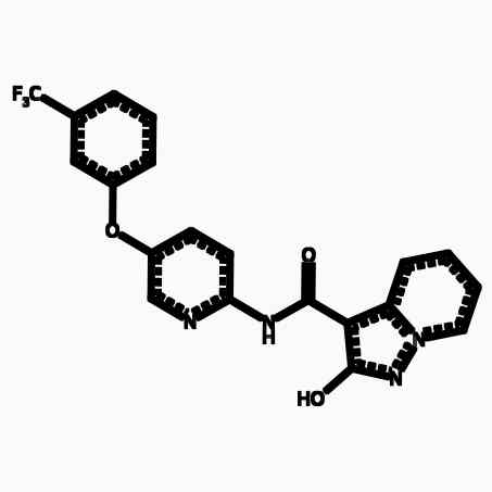 O=C(Nc1ccc(Oc2cccc(C(F)(F)F)c2)cn1)c1c(O)nn2ccccc12